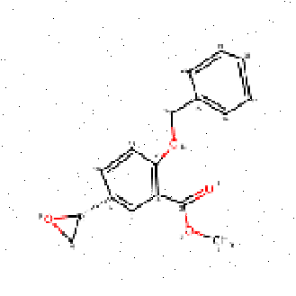 COC(=O)c1cc([C@@H]2CO2)ccc1OCc1ccccc1